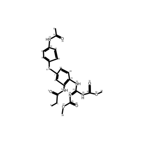 CCC(=O)Nc1cc(Sc2ccc(NC(C)=O)cc2)ccc1NC(=NC(=O)OC)NC(=O)OC